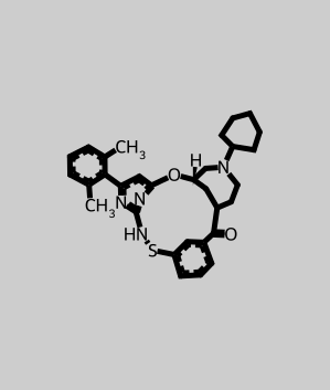 Cc1cccc(C)c1-c1cc2nc(n1)NSc1cccc(c1)C(=O)C1CCN(C3CCCCC3)C[C@H](C1)O2